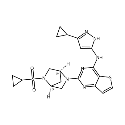 O=S(=O)(C1CC1)N1C[C@@H]2C[C@H]1CN2c1nc(Nc2cc(C3CC3)n[nH]2)c2sccc2n1